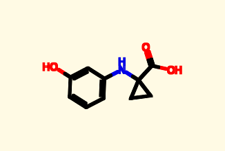 O=C(O)C1(Nc2cccc(O)c2)CC1